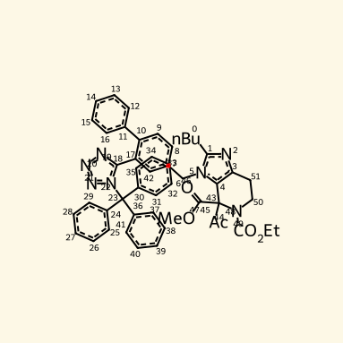 CCCCc1nc2c(n1Cc1ccc(-c3ccccc3)c(-c3nnnn3C(c3ccccc3)(c3ccccc3)c3ccccc3)c1)C(C(C)=O)(C(=O)OC)N(C(=O)OCC)CC2